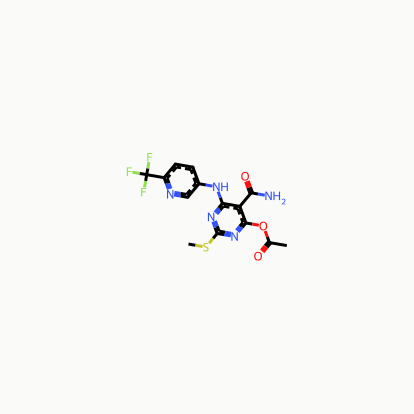 CSc1nc(Nc2ccc(C(F)(F)F)nc2)c(C(N)=O)c(OC(C)=O)n1